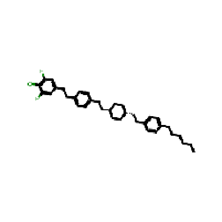 CCCCCCc1ccc(CC[C@H]2CC[C@H](CCc3ccc(CCc4cc(F)c(Cl)c(F)c4)cc3)CC2)cc1